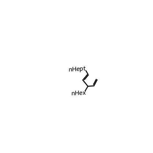 [CH2]CCCCCC(C=C)C=CCCCCCCC